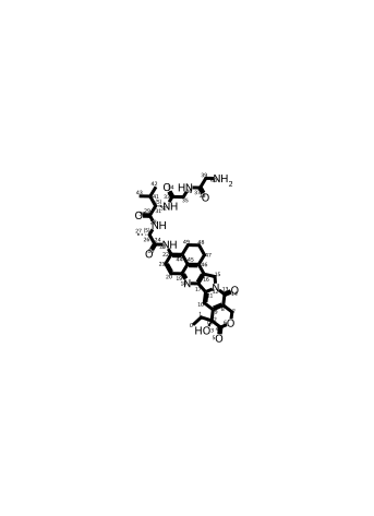 CC[C@@]1(O)C(=O)OCc2c1cc1n(c2=O)Cc2c-1nc1ccc(NC(=O)[C@H](C)NC(=O)[C@@H](NC(=O)CNC(=O)CN)C(C)C)c3c1c2CCC3